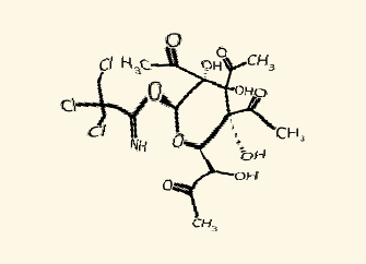 CC(=O)C(O)[C@H]1O[C@@H](OC(=N)C(Cl)(Cl)Cl)[C@@](O)(C(C)=O)[C@](O)(C(C)=O)[C@@]1(O)C(C)=O